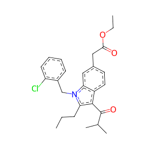 CCCc1c(C(=O)C(C)C)c2ccc(CC(=O)OCC)cc2n1Cc1ccccc1Cl